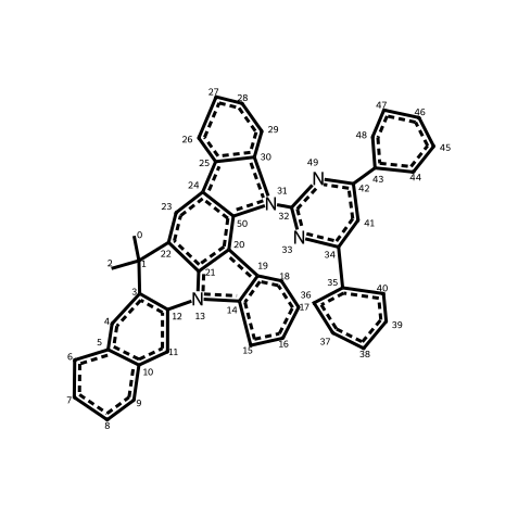 CC1(C)c2cc3ccccc3cc2-n2c3ccccc3c3c2c1cc1c2ccccc2n(-c2nc(-c4ccccc4)cc(-c4ccccc4)n2)c13